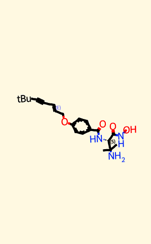 CC(C)(C)C#C/C=C/COc1ccc(C(=O)N[C@H](C(=O)NO)C(C)(C)N)cc1